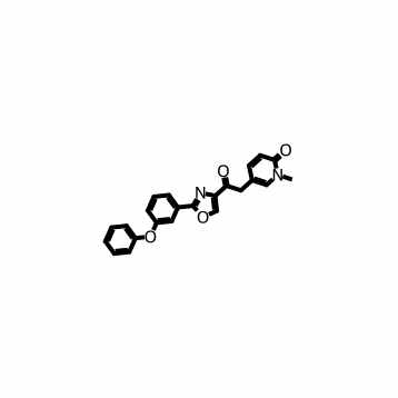 Cn1cc(CC(=O)c2coc(-c3cccc(Oc4ccccc4)c3)n2)ccc1=O